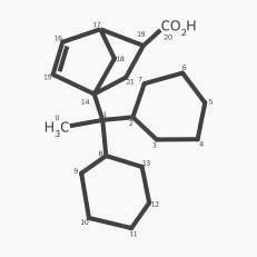 CC(C1CCCCC1)(C1CCCCC1)C12C=CC(C1)C(C(=O)O)C2